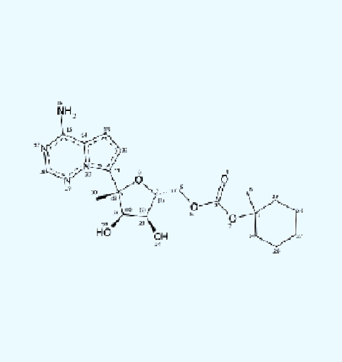 CC1(OC(=O)OC[C@H]2O[C@@](C)(c3ccc4c(N)ncnn34)[C@H](O)[C@@H]2O)CCCCC1